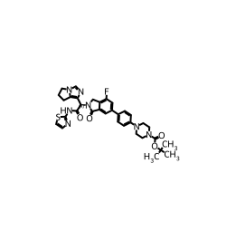 CC(C)(C)OC(=O)N1CCN(c2ccc(-c3cc(F)c4c(c3)C(=O)N([C@@H](C(=O)Nc3nccs3)c3ncn5c3CCC5)C4)cc2)CC1